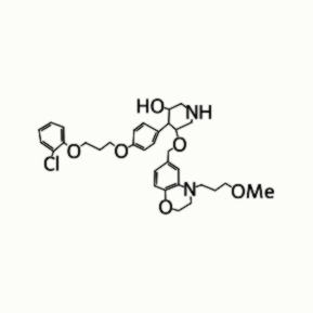 COCCCN1CCOc2ccc(COC3CNCC(O)C3c3ccc(OCCCOc4ccccc4Cl)cc3)cc21